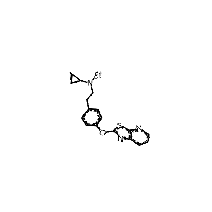 CCN(CCc1ccc(Oc2nc3cccnc3s2)cc1)C1CC1